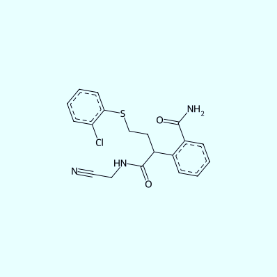 N#CCNC(=O)C(CCSc1ccccc1Cl)c1ccccc1C(N)=O